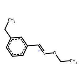 CCO/N=C/c1cccc(CC)c1